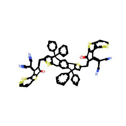 N#CC(C#N)=C1/C(=C/c2cc3c(s2)-c2cc4c(cc2C3(c2ccccc2)c2ccccc2)-c2sc(/C=C3\C(=O)c5sc6ccsc6c5C3=C(C#N)C#N)cc2C4(c2ccccc2)c2ccccc2)C(=O)c2sc3ccsc3c21